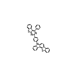 c1ccc(-c2nc(-c3ccc(-n4c5ccccc5c5c6sc7ccccc7c6ccc54)cc3)nc3sc4ccccc4c23)cc1